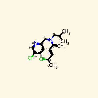 C=C(/C=C/C(C)Cl)N(Cc1ccc(Cl)cn1)CC(C)C